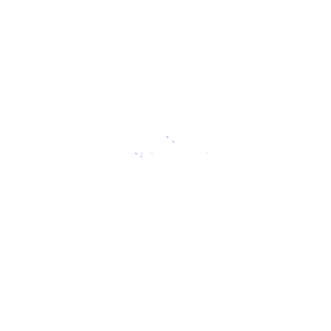 COC(=O)CCn1c(=O)n(Cc2cccc3ccccc23)c2ccccc21